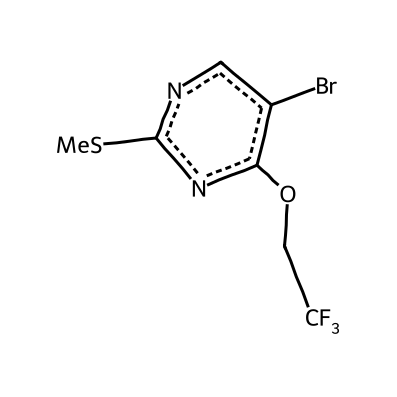 CSc1ncc(Br)c(OCC(F)(F)F)n1